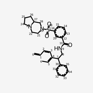 C=C/C=C\C(=C/C)C(CNC(=O)c1cccc(S(=O)(=O)N2CCN3CCCC3C2)c1)c1ccccc1